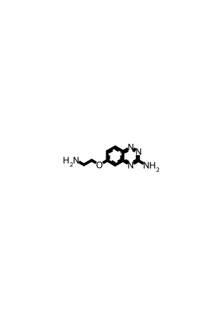 NCCOc1ccc2nnc(N)nc2c1